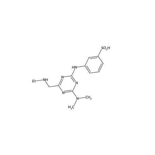 CCNCc1nc(Nc2cccc(S(=O)(=O)O)c2)nc(N(C)C)n1